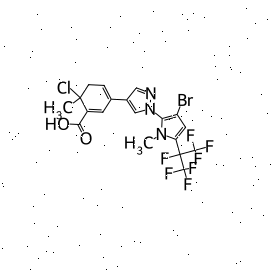 Cn1c(C(F)(C(F)(F)F)C(F)(F)F)cc(Br)c1-n1cc(C2=CCC(C)(Cl)C(C(=O)O)=C2)cn1